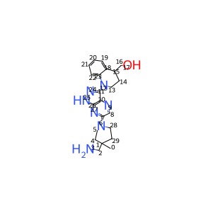 CC1(CN)CCN(c2cnc3c(N4CCC(CO)c5ccccc54)n[nH]c3n2)CC1